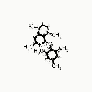 CCC(C)N1CCN(C)c2c1cc(C)nc2Oc1c(C)cc(C)cc1C